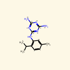 Cc1ccc(C(C)C)c(Nc2nc(N)nc(N)n2)c1